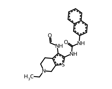 CCN1CCc2c(sc(NC(=O)Nc3ccc4ccccc4c3)c2NC=O)C1